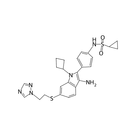 Nc1c(-c2ccc(NS(=O)(=O)C3CC3)cc2)n(C2CCC2)c2cc(SCCn3cncn3)ccc12